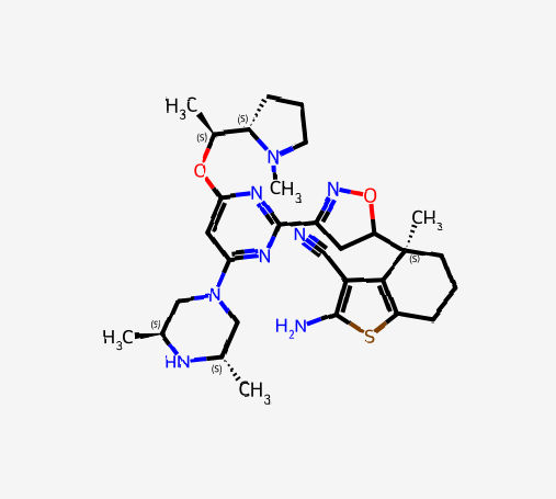 C[C@H](Oc1cc(N2C[C@H](C)N[C@@H](C)C2)nc(C2=NOC([C@@]3(C)CCCc4sc(N)c(C#N)c43)C2)n1)[C@@H]1CCCN1C